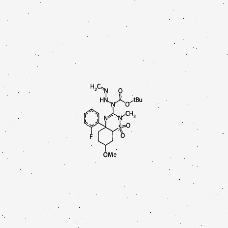 C=NNN(C(=O)OC(C)(C)C)C1=NC2(c3ccccc3F)CCC(OC)CC2S(=O)(=O)N1C